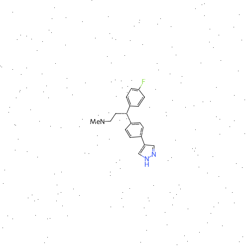 CNCCC(c1ccc(F)cc1)c1ccc(-c2cn[nH]c2)cc1